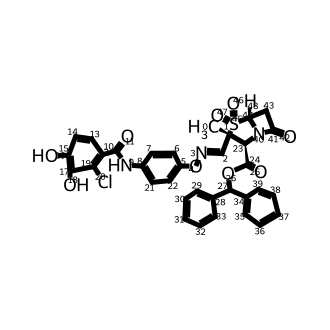 C[C@]1(/C=N/Oc2ccc(NC(=O)c3ccc(O)c(O)c3Cl)cc2)[C@H](C(=O)OC(c2ccccc2)c2ccccc2)N2C(=O)C[C@H]2S1(=O)=O